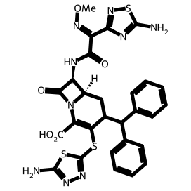 CON=C(C(=O)N[C@@H]1C(=O)N2C(C(=O)O)=C(Sc3nnc(N)s3)C(C(c3ccccc3)c3ccccc3)C[C@H]12)c1nsc(N)n1